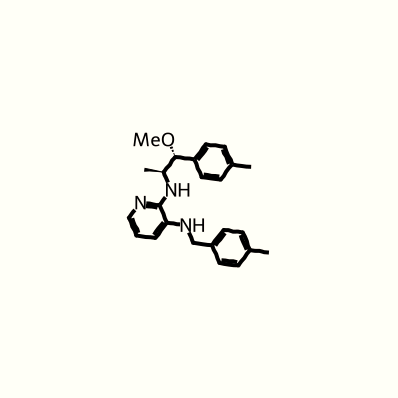 CO[C@H](c1ccc(C)cc1)[C@H](C)Nc1ncccc1NCc1ccc(C)cc1